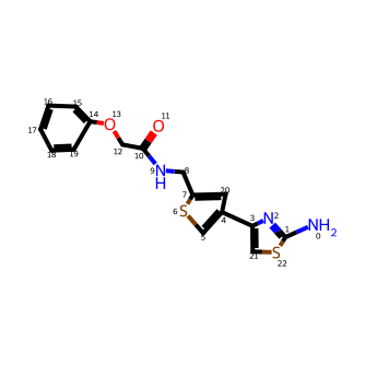 Nc1nc(-c2csc(CNC(=O)COc3ccccc3)c2)cs1